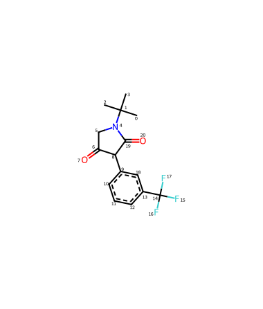 CC(C)(C)N1CC(=O)C(c2cccc(C(F)(F)F)c2)C1=O